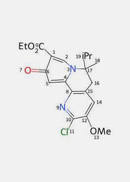 CCOC(=O)c1cn2c(cc1=O)-c1nc(Cl)c(OC)cc1CC2(C)C(C)C